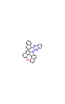 c1ccc2c(-c3nc4ccccc4nc3-n3c4ccc5cccc6oc7cccc8ccc3c(c87)c4c56)cccc2c1